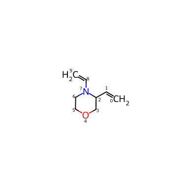 C=CC1COCCN1C=C